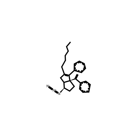 C=C(c1ccccc1)[C@@]12CC[C@@H](N=[N+]=[N-])C1CC(CCCCCC)=C2c1ccccc1